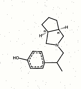 CC(CN1C[C@H]2CCC[C@H]2C1)c1ccc(O)cc1